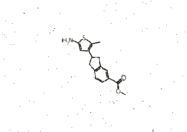 COC(=O)c1ccc2c(c1)CC(c1cc(N)sc1C)C2